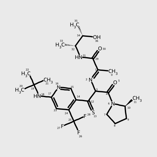 C/C(=N\C(C(=O)N1CCC[C@@H]1C)C(=S)c1cnc(NC(C)(C)C)cc1C(F)(F)F)C(=O)N[C@H](C)[C@H](C)O